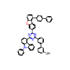 N#Cc1cccc(-c2cccc(-c3nc(-c4ccc5c(c4)oc4cccc(-c6ccc(-c7ccccc7)cc6)c45)nc(-c4cccc5c4c4ccccc4n5-c4ccccc4)n3)c2)c1